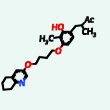 CC(=O)C(C)Cc1ccc(OCCCCOc2cnc3c(c2)CCCC3)c(C)c1O